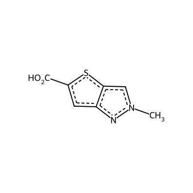 Cn1cc2sc(C(=O)O)cc2n1